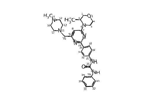 C[C@H]1COCCN1c1cc(CN2CCN(C)CC2)nc(-c2ccc(NC(=O)Nc3ccccc3)cc2)n1